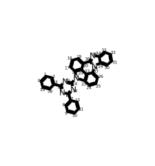 c1ccc(-c2nc(-c3ccccc3)nc(-n3c4cccc5c4c4c3cccc4n3c4ccccc4nc53)n2)cc1